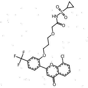 O=C(COCCCOc1cc(C(F)(F)F)ccc1-c1cc(=O)c2cccc(Cl)c2o1)NS(=O)(=O)C1CC1